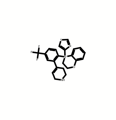 FC(F)(F)c1ccc([N+]2(c3cscn3)CCOc3ccccc32)c(C2=CCNCC2)c1